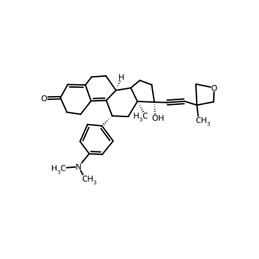 CN(C)c1ccc([C@H]2C[C@@]3(C)C(CC[C@@]3(O)C#CC3(C)COC3)[C@@H]3CCC4=CC(=O)CCC4=C32)cc1